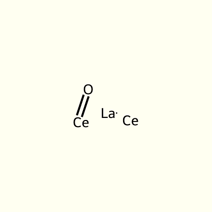 [Ce].[La].[O]=[Ce]